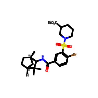 CCOC(=O)C1CCCN(S(=O)(=O)c2cc(C(=O)NC3C(C)(C)[C@@H]4CC[C@@]3(C)C4)ccc2Br)C1